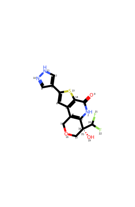 O=c1[nH]c2c(c3cc(-c4cn[nH]c4)sc13)COC[C@]2(O)C(F)F